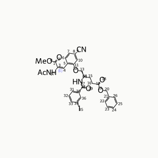 COC(=O)/C(=C\c1ccc(C#N)cc1OC[C@@H](CCC(=O)OCc1ccccc1)NC(=O)c1cccc(I)c1)NC(C)=O